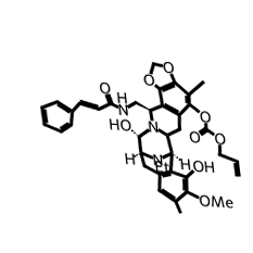 C=CCOC(=O)Oc1c(C)c2c(c3c1CC1[C@H]4c5c(cc(C)c(OC)c5O)C[C@@H]([C@H](O)N1[C@H]3CNC(=O)/C=C/c1ccccc1)N4CC)OCO2